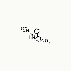 O=[N+]([O-])c1ccc(NCCCN2CCOCC2)c(C2=CCCCC2)c1